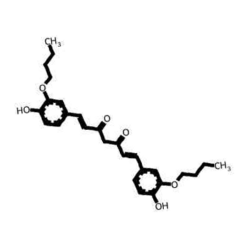 CCCCOc1cc(C=CC(=O)CC(=O)C=Cc2ccc(O)c(OCCCC)c2)ccc1O